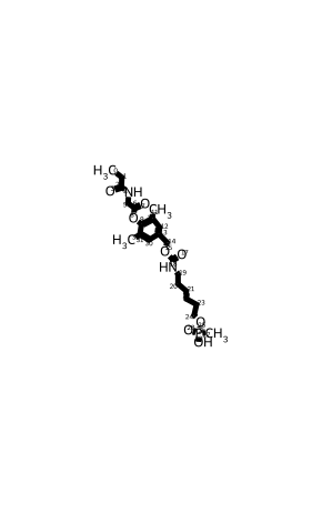 CCC(=O)NCC(=O)Oc1c(C)cc(COC(=O)NCCCCCCOP(C)(=O)O)cc1C